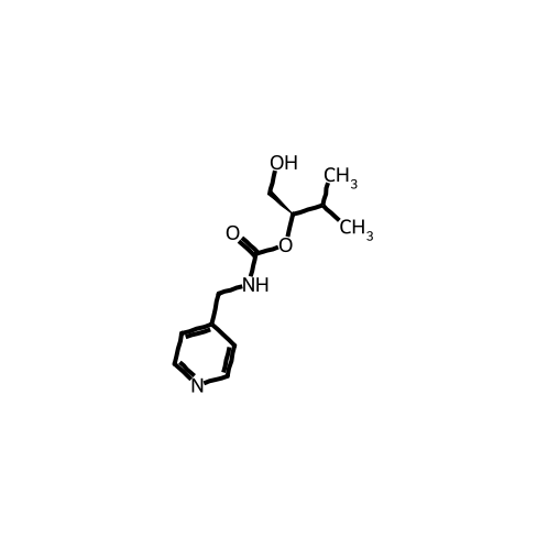 CC(C)[C@H](CO)OC(=O)NCc1ccncc1